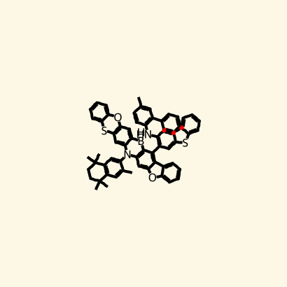 Cc1ccc(Nc2cc3c(cc2-c2c4c(cc5oc6ccccc6c25)N(c2cc5c(cc2C)C(C)(C)CCC5(C)C)c2cc5c(cc2B4)Oc2ccccc2S5)sc2ccccc23)c(-c2ccccc2)c1